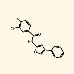 O=C(Nc1nc(-c2ccccc2)co1)c1ccc(F)c(Cl)c1